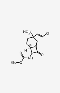 CC(C)(C)OC(=O)NC1C(=O)N2CC(C=CCl)(C(=O)O)CS[C@H]12